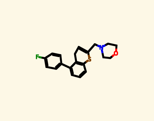 Fc1ccc(-c2cccc3c2CC=C(CN2CCOCC2)S3)cc1